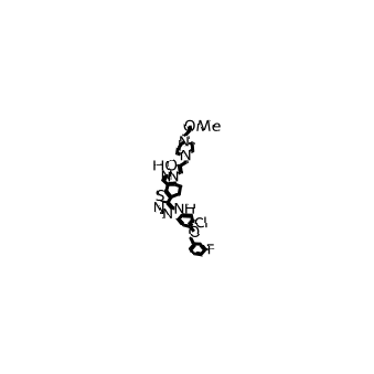 COCCN1CCN(C[C@@H](O)Cn2ncc3c2CCc2c-3sc3ncnc(Nc4ccc(OCc5cccc(F)c5)c(Cl)c4)c23)CC1